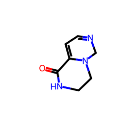 O=C1NCCN2CN=CC=C12